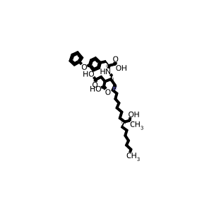 CCCCCCC[C@@H](CCCCCC/C=C/[C@H](CN[C@@H](Cc1ccc(Oc2ccccc2)cc1)C(=O)O)C(CC(=O)O)C(=O)O)C(C)O